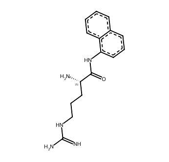 N=C(N)NCCC[C@H](N)C(=O)Nc1cccc2ccccc12